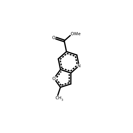 COC(=O)c1cnc2cc(C)oc2c1